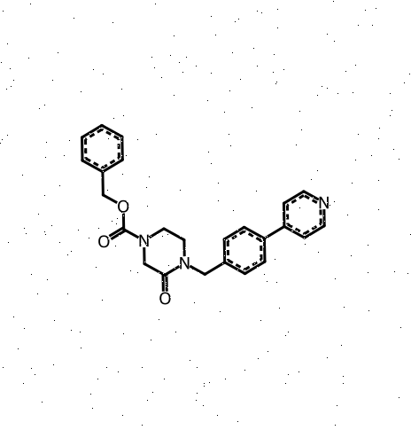 O=C1CN(C(=O)OCc2ccccc2)CCN1Cc1ccc(-c2ccncc2)cc1